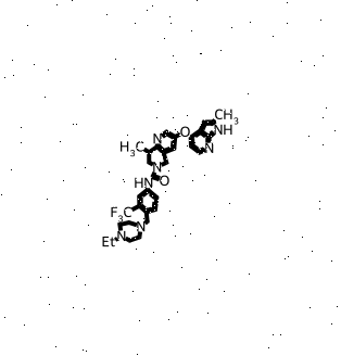 CCN1CCN(Cc2ccc(NC(=O)N3Cc4cc(Oc5ccnc6[nH]c(C)cc56)cnc4C(C)C3)cc2C(F)(F)F)CC1